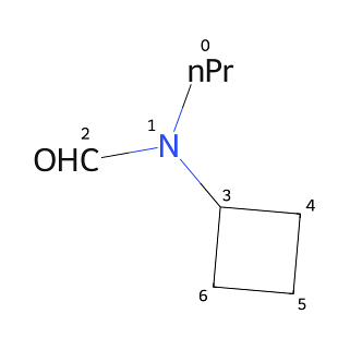 CCCN(C=O)C1CCC1